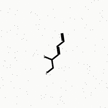 C=CC=CC(I)CI